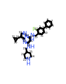 Fc1cc(-c2ccccc2)ccc1CNc1cc(NCC2CCNCC2)nc2c(C3CC3)cnn12